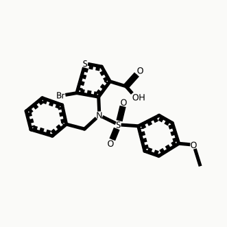 COc1ccc(S(=O)(=O)N(Cc2ccccc2)c2c(C(=O)O)csc2Br)cc1